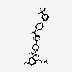 COc1ccc(Cl)cc1S(=O)(=O)N1CCC(c2nc(C(=O)N3CCN(c4cccc(C(F)(F)F)c4)CC3)cs2)CC1